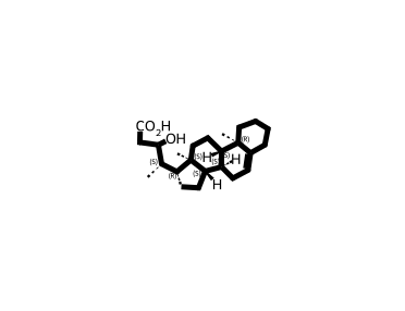 C[C@H](C(O)CC(=O)O)[C@H]1CC[C@H]2[C@@H]3CC=C4CCCC[C@]4(C)[C@H]3CC[C@]12C